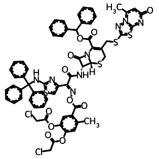 Cc1cc(OC(=O)CCl)c(OC(=O)CCl)cc1C(=O)ON=C(C(=O)N[C@@H]1C(=O)N2C(C(=O)OC(c3ccccc3)c3ccccc3)=C(CSc3nn4c(C)cc(=O)nc4s3)CS[C@H]12)c1csc(NC(c2ccccc2)(c2ccccc2)c2ccccc2)n1